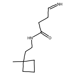 CC1(CCNC(=O)CCC=N)CCC1